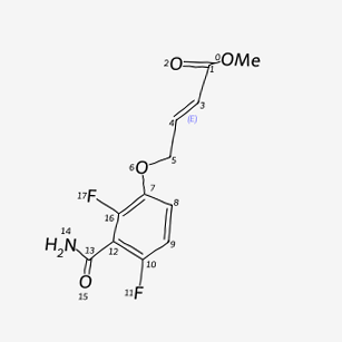 COC(=O)/C=C/COc1ccc(F)c(C(N)=O)c1F